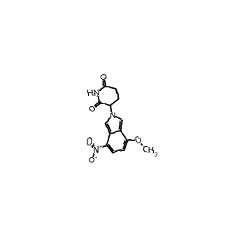 COc1ccc([N+](=O)[O-])c2cn(C3CCC(=O)NC3=O)cc12